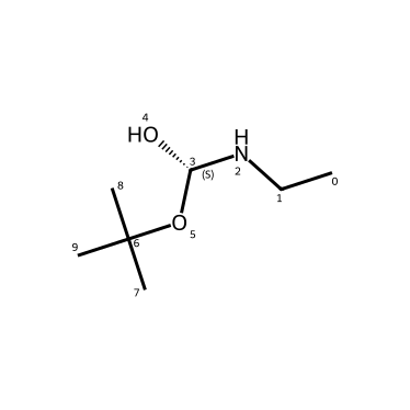 CCN[C@@H](O)OC(C)(C)C